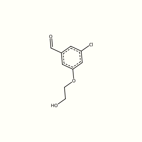 O=Cc1cc(Cl)cc(OCCO)c1